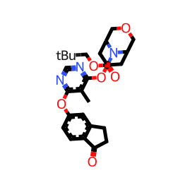 Cc1c(Oc2ccc3c(c2)CCC3=O)ncnc1OC1CC2COCC(C1)N2C(=O)OCC(C)(C)C